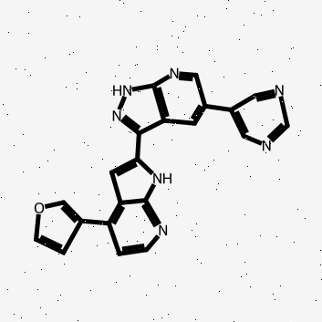 c1ncc(-c2cnc3[nH]nc(-c4cc5c(-c6ccoc6)ccnc5[nH]4)c3c2)cn1